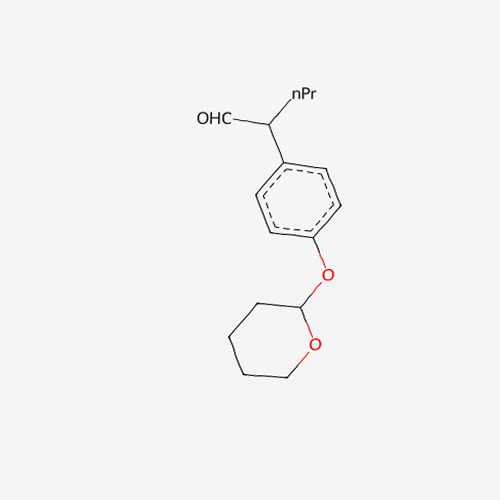 CCCC(C=O)c1ccc(OC2CCCCO2)cc1